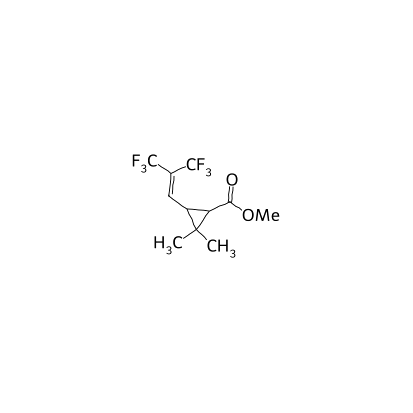 COC(=O)C1C(C=C(C(F)(F)F)C(F)(F)F)C1(C)C